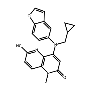 Cn1c(=O)cc(N(CC2CC2)c2ccc3occc3c2)c2nc(C#N)ccc21